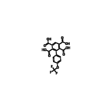 O=C(O)c1cc(C(=O)O)c(C(=O)O)c(-c2ccc(OC(F)(F)F)cc2)c1C(=O)O